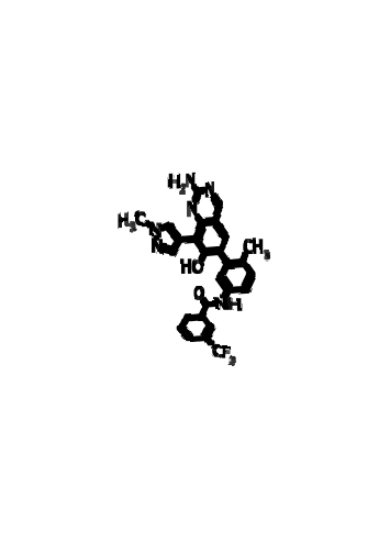 Cc1ccc(NC(=O)c2cccc(C(F)(F)F)c2)cc1-c1cc2cnc(N)nc2c(-c2cnn(C)c2)c1O